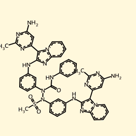 Cc1nc(N)cc(-c2c(Nc3cccc(N(C(=O)Nc4ccccc4)N(c4cccc(Nc5nc6ccccn6c5-c5cc(N)nc(C)n5)c4)S(C)(=O)=O)c3)nc3ccccn23)n1